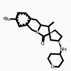 CC1C2Cc3ccc(C(C)(C)C)cc3CN2C(=O)[C@]12CC[C@@H](NC1CCOCC1)C2